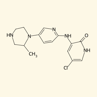 CC1CNCCN1c1ccc(Nc2cc(Cl)c[nH]c2=O)nc1